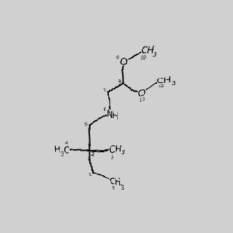 CCC(C)(C)CNCC(OC)OC